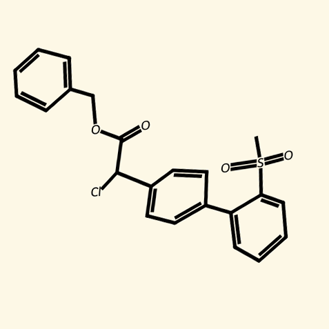 CS(=O)(=O)c1ccccc1-c1ccc(C(Cl)C(=O)OCc2ccccc2)cc1